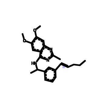 CCC/C=C/c1cccc(C(C)Nc2nc(C)nc3cc(OC)c(OC)cc23)c1